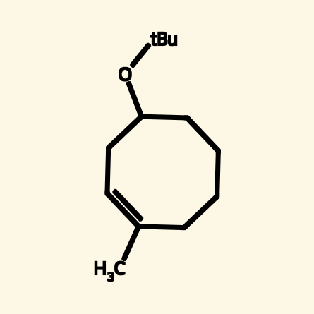 CC1=CCC(OC(C)(C)C)CCCC1